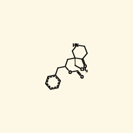 CCC1(CC(Cc2ccccc2)OC=O)CNCCC1=O